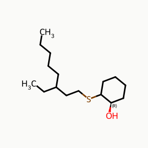 CCCCCC(CC)CCSC1CCCC[C@H]1O